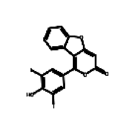 O=c1cc2oc3ccccc3c2c(-c2cc(I)c(O)c(I)c2)o1